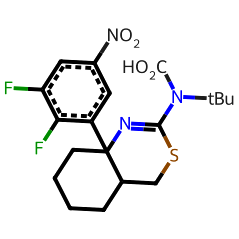 CC(C)(C)N(C(=O)O)C1=NC2(c3cc([N+](=O)[O-])cc(F)c3F)CCCCC2CS1